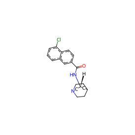 O=C(N[C@@H]1CC2CCN(CC2)C1)c1ccc2c(Cl)cccc2c1